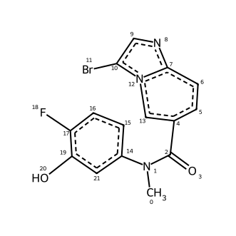 CN(C(=O)c1ccc2ncc(Br)n2c1)c1ccc(F)c(O)c1